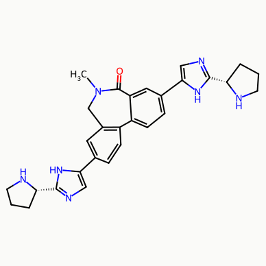 CN1Cc2cc(-c3cnc([C@@H]4CCCN4)[nH]3)ccc2-c2ccc(-c3cnc([C@@H]4CCCN4)[nH]3)cc2C1=O